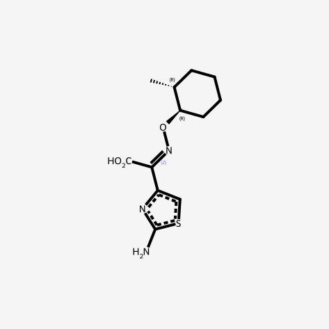 C[C@@H]1CCCC[C@H]1O/N=C(\C(=O)O)c1csc(N)n1